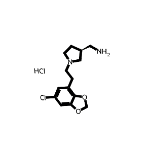 Cl.NC[C@@H]1CCN(CCc2cc(Cl)cc3c2OCO3)C1